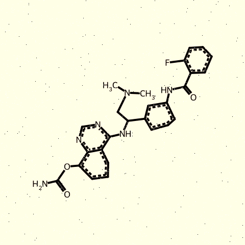 CN(C)CC(Nc1ncnc2c(OC(N)=O)cccc12)c1cccc(NC(=O)c2ccccc2F)c1